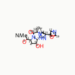 CNC(=O)C1CC(O)CN1C(=O)C(C(C)C)n1cc(-c2cnco2)nn1